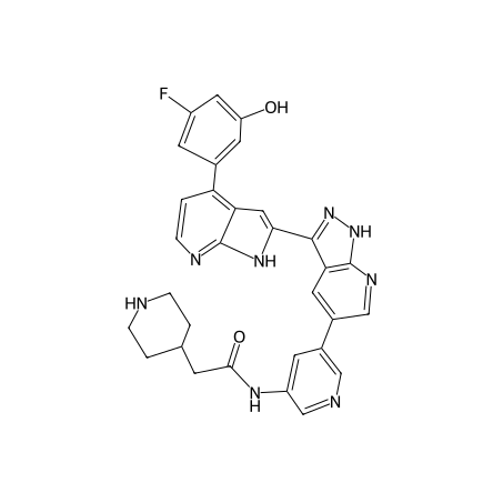 O=C(CC1CCNCC1)Nc1cncc(-c2cnc3[nH]nc(-c4cc5c(-c6cc(O)cc(F)c6)ccnc5[nH]4)c3c2)c1